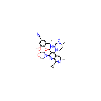 COc1cc(C#N)cc([C@H](C)NC(=O)c2c(N3CCOCC3)nc3c(C4CC4)nc(C)cc3c2N2CCN[C@@H](C)CC2)c1